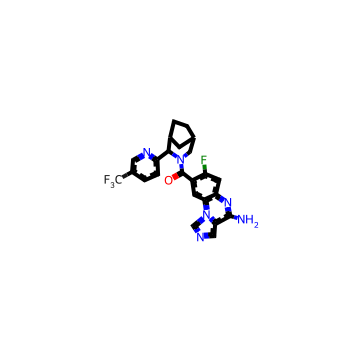 Nc1nc2cc(F)c(C(=O)N3CC4CCC(C4)C3c3ccc(C(F)(F)F)cn3)cc2n2cncc12